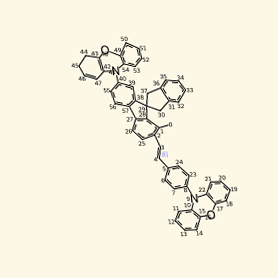 Cc1c(/C=C/c2ccc(N3c4ccccc4Oc4ccccc43)cc2)ccc2c1C1(Cc3ccccc3C1)c1cc(N3C4=C(CCC=C4)Oc4ccccc43)ccc1-2